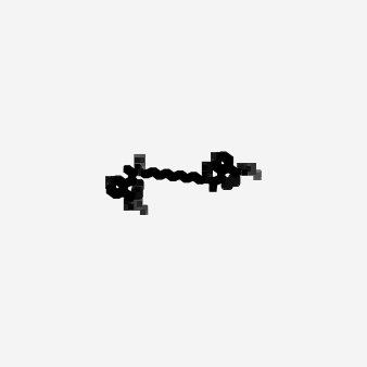 CC(NCCCCCCCCCNC(C)C(=O)c1cnccc1C(N)=O)C(=O)c1cnccc1C(N)=O